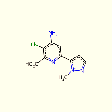 Cn1nccc1-c1cc(N)c(Cl)c(C(=O)O)n1